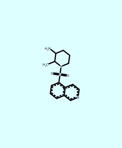 CC1C(N)CCCN1S(=O)(=O)c1cccc2cnccc12